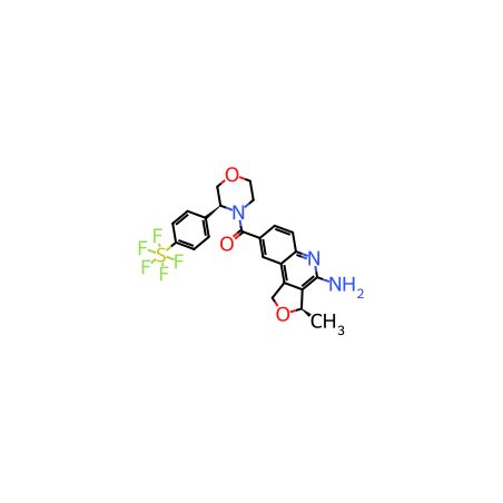 C[C@H]1OCc2c1c(N)nc1ccc(C(=O)N3CCOC[C@@H]3c3ccc(S(F)(F)(F)(F)F)cc3)cc21